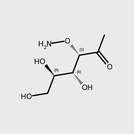 CC(=O)[C@@H](ON)[C@H](O)[C@H](O)CO